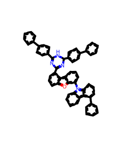 c1ccc(-c2ccc(C3=NC(c4cccc5oc6c(-n7c8ccccc8c8c(-c9ccccc9)cccc87)cccc6c45)=NC(c4ccc(-c5ccccc5)cc4)N3)cc2)cc1